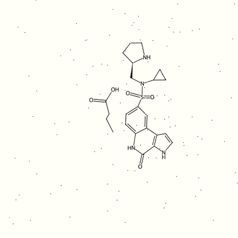 CCCC(=O)O.O=c1[nH]c2ccc(S(=O)(=O)N(C[C@H]3CCCN3)C3CC3)cc2c2cc[nH]c12